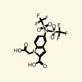 O=C(O)Cn1c(C(=O)O)cc2cc(N(S(=O)(=O)C(F)(F)F)S(=O)(=O)C(F)(F)F)ccc21